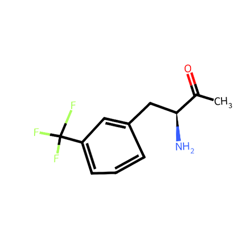 CC(=O)[C@@H](N)Cc1cccc(C(F)(F)F)c1